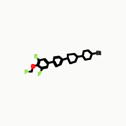 CCC1CCC(C2CCC(c3ccc(-c4cc(F)c(OCF)c(F)c4)cc3)CC2)CC1